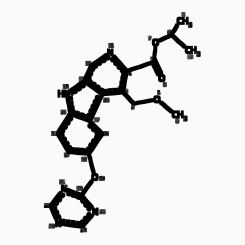 COCc1c(C(=O)OC(C)C)ncc2[nH]c3ccc(Oc4ncncn4)cc3c12